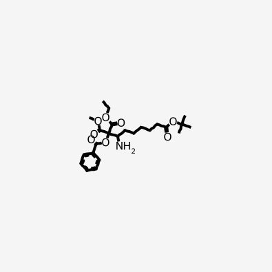 CCOC(=O)C(OC(=O)c1ccccc1)(C(=O)OC)C(N)CCCCCC(=O)OC(C)(C)C